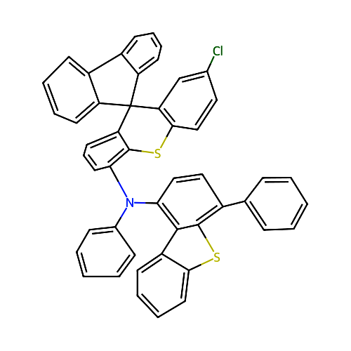 Clc1ccc2c(c1)C1(c3ccccc3-c3ccccc31)c1cccc(N(c3ccccc3)c3ccc(-c4ccccc4)c4sc5ccccc5c34)c1S2